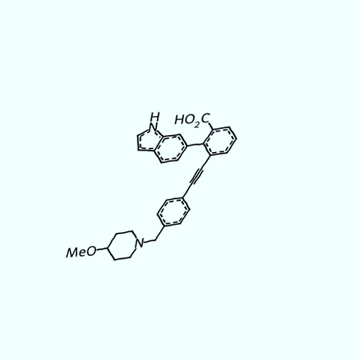 COC1CCN(Cc2ccc(C#Cc3cccc(C(=O)O)c3-c3ccc4cc[nH]c4c3)cc2)CC1